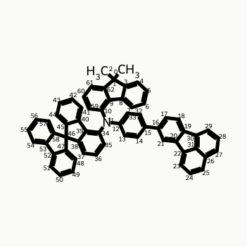 CC1(C)c2ccccc2-c2c(N(c3ccc(-c4ccc5c(c4)-c4cccc6cccc-5c46)cc3)c3cccc4c3-c3ccccc3C43c4ccccc4-c4ccccc43)cccc21